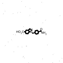 NC(=O)c1ccc(Cn2ncc3cc(C(=O)O)ccc32)cc1